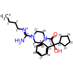 CCCCN=C(N)N1CCN(C(=O)C(O)(c2ccccc2)C2CCCC2)CC1